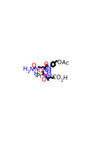 CC(=O)OCc1ccc(NC(=O)[C@H](CCCNC(N)=O)NC(=O)C(NC(=O)C(C)CCC(=O)O)C(C)C)cc1